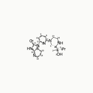 CC(C)[C@@](C)(O)[C@@H]1CN(c2cccc(-n3c(=O)[nH]c4ncccc43)n2)CCN1